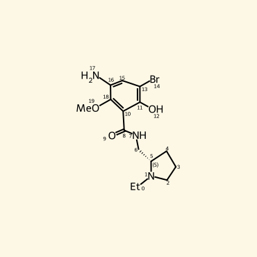 CCN1CCC[C@H]1CNC(=O)c1c(O)c(Br)cc(N)c1OC